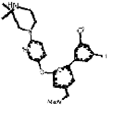 CNCc1cc(Oc2ccc(N3CCNC(C)(C)C3)nc2)cc(-c2cc(Cl)cc(Cl)c2)c1